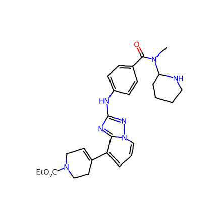 CCOC(=O)N1CC=C(c2cccn3nc(Nc4ccc(C(=O)N(C)C5CCCCN5)cc4)nc23)CC1